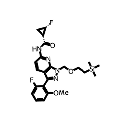 COc1cccc(F)c1-c1nn(COCC[Si](C)(C)C)c2nc(NC(=O)[C@@H]3C[C@@H]3F)ccc12